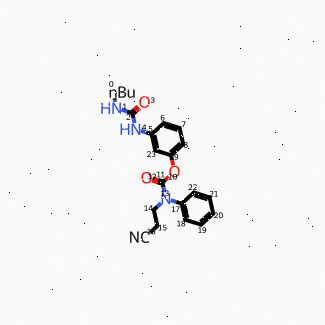 CCCCNC(=O)Nc1cccc(OC(=O)N(CCC#N)c2ccccc2)c1